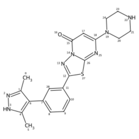 Cc1n[nH]c(C)c1-c1cccc(-c2nn3c(=O)cc(N4CCNCC4)nc3s2)c1